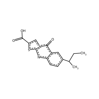 CCC(C)c1ccc2nc3sc(C(=O)O)cn3c(=O)c2c1